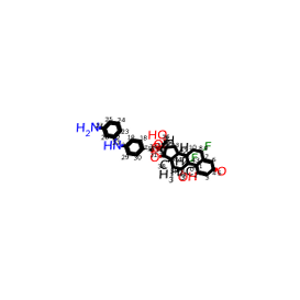 C[C@]12C=CC(=O)C=C1[C@@H](F)C[C@H]1[C@@H]3C[C@H]4O[C@@H](c5ccc(Nc6cccc(N)c6)cc5)O[C@@]4(C(=O)CO)[C@@]3(C)C[C@H](O)[C@@]12F